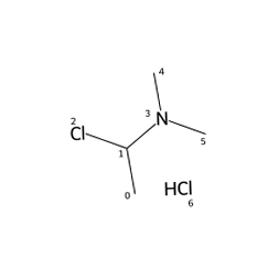 CC(Cl)N(C)C.Cl